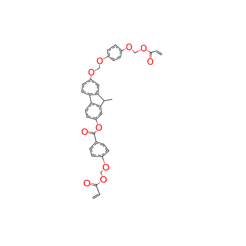 C=CC(=O)OCOc1ccc(OCOc2ccc3c(c2)C(C)c2cc(OC(=O)c4ccc(OCOC(=O)C=C)cc4)ccc2-3)cc1